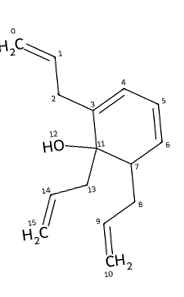 C=CCC1=CC=CC(CC=C)C1(O)CC=C